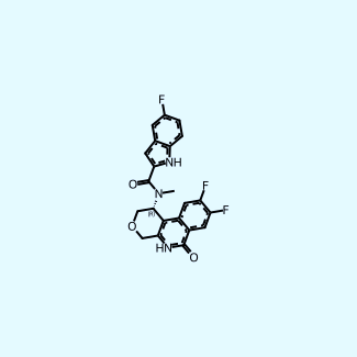 CN(C(=O)c1cc2cc(F)ccc2[nH]1)[C@H]1COCc2[nH]c(=O)c3cc(F)c(F)cc3c21